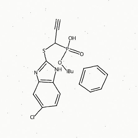 C#CC(Sc1nc2cc(Cl)ccc2[nH]1)P(=O)(O)OC(C)CC.c1ccccc1